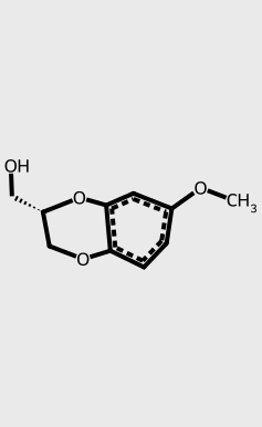 COc1ccc2c(c1)O[C@@H](CO)CO2